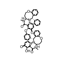 CN1C(=O)c2c(Oc3cccc([C@@H]4c5ccccc5OCC[C@H]5N(C)C(=O)c6c(O)c(=O)ccn6N45)c3)c(=O)ccn2N2[C@@H](c3ccccc3)c3ccccc3OCC[C@H]12